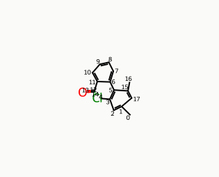 Cc1cc(C)c(-c2ccccc2C(=O)Cl)c(C)c1